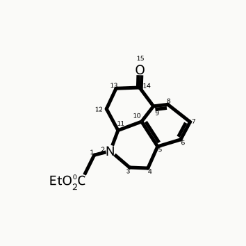 CCOC(=O)CN1CCc2cccc3c2C1CCC3=O